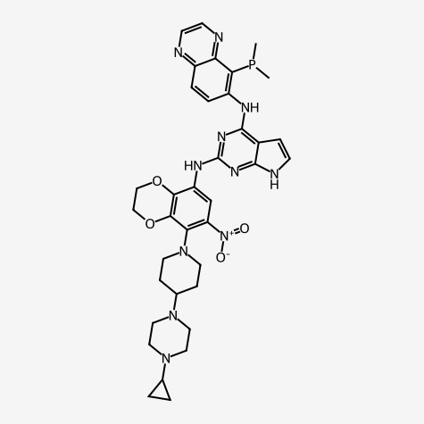 CP(C)c1c(Nc2nc(Nc3cc([N+](=O)[O-])c(N4CCC(N5CCN(C6CC6)CC5)CC4)c4c3OCCO4)nc3[nH]ccc23)ccc2nccnc12